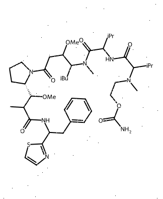 CCC(C)C(C(CC(=O)N1CCC[C@H]1C(OC)C(C)C(=O)NC(Cc1ccccc1)c1nccs1)OC)N(C)C(=O)C(NC(=O)C(C(C)C)N(C)CCOC(N)=O)C(C)C